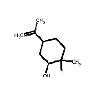 C=C(C)C1CCC(C)(I)C(O)C1